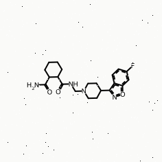 NC(=O)C1CCCCC1C(=O)NCN1CCC(c2noc3cc(F)ccc23)CC1